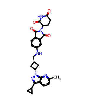 Cc1ccc2c(C3CC3)nn([C@H]3C[C@H](CNc4ccc5c(c4)C(=O)N(C4CCC(=O)NC4=O)C5=O)C3)c2n1